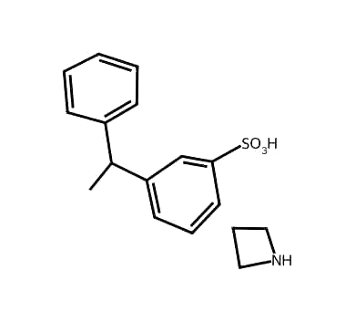 C1CNC1.CC(c1ccccc1)c1cccc(S(=O)(=O)O)c1